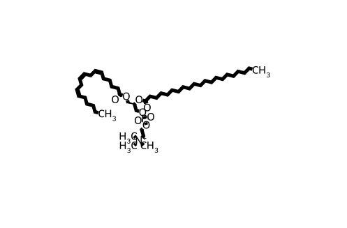 CCCCC/C=C\C/C=C\C/C=C\CCCCC(=O)OC[C@H](COP(=O)([O-])OCC[N+](C)(C)C)OC(=O)CCCCCCCCCCCCCCCCCCCC